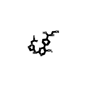 Cc1cnc(Nc2cnn(CC(F)F)c2)nc1-c1ccc(C(O)NCC#N)cc1